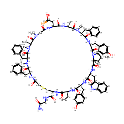 CCCC[C@H]1C(=O)N(C)CC(=O)N[C@@H](CC(O)=P)C(=O)N[C@@H](C(C)C)C(=O)N(C)[C@@H](Cc2ccccc2)C(=O)N[C@@H](Cc2ccc(O)cc2)C(=O)N2C[C@H](C)C[C@@H]2C(=O)N[C@@H](Cc2c[nH]c3ccccc23)C(=O)N[C@@H](Cc2ccc(O)cc2)C(=O)N[C@@H](CC(C)C)C(=O)N[C@H](C(=O)NCC(N)=O)CSCC(=O)N[C@@H](Cc2ccccc2)C(=O)N(C)[C@@H](Cc2ccccc2)C(=O)N1C